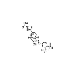 Cc1cc(OC[C@@H]2[C@H]3CC[C@H](c4nc(C(=O)O)cs4)O[C@H]3C[C@H]2O)ccc1C(F)(F)F